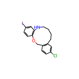 Clc1ccc2c(c1)CCCCNc1cc(I)ccc1OC2